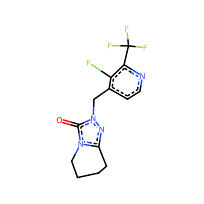 O=c1n(Cc2ccnc(C(F)(F)F)c2F)nc2n1CCCC2